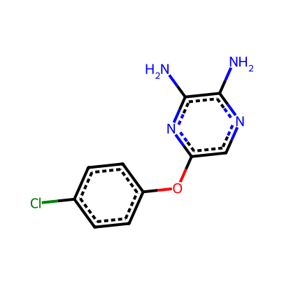 Nc1ncc(Oc2ccc(Cl)cc2)nc1N